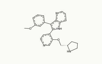 COc1cccc(-c2c(-c3ccncc3OC[C@@H]3CCCN3)[nH]c3cccnc23)c1